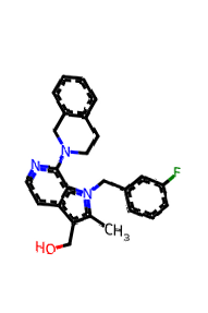 Cc1c(CO)c2ccnc(N3CCc4ccccc4C3)c2n1Cc1cccc(F)c1